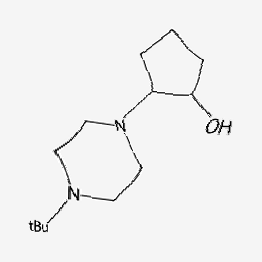 CC(C)(C)N1CCN(C2CCCC2O)CC1